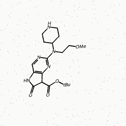 COCCN(c1ncc2c(n1)C(C(=O)OC(C)(C)C)C(=O)N2)C1CCNCC1